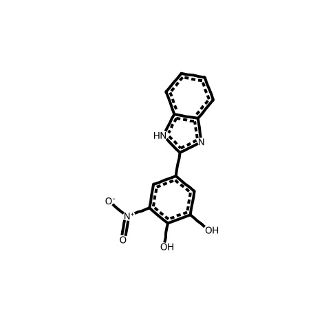 O=[N+]([O-])c1cc(-c2nc3ccccc3[nH]2)cc(O)c1O